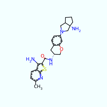 Cc1ccc2c(N)c(C(=O)N[C@H]3COc4cc(N5CC6CCC[C@@]6(N)C5)ccc4C3)sc2n1